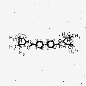 CC1(C)CC(OC(=O)c2ccc(-c3ccc(C(O)OC4CC(C)(C)NC(C)(C)C4)cc3)cc2)CC(C)(C)N1